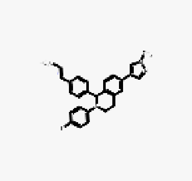 Cn1cc(-c2ccc3c(c2)CCN(c2ccc(F)cc2)C3c2ccc(/C=C/C(=O)O)cc2)cn1